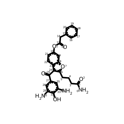 NC(=O)CCCc1oc2cc(OC(=O)Cc3ccccc3)ccc2c1C(=O)c1cc(N)c(O)c(N)c1